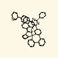 c1ccc(-c2nc(-c3ccc(-c4cccnc4)cc3)cc(-c3ccc4c(c3)C3(c5ccccc5-c5ccccc5-4)c4ccccc4-c4c3cc3ccc5cccc6ccc4c3c56)n2)cc1